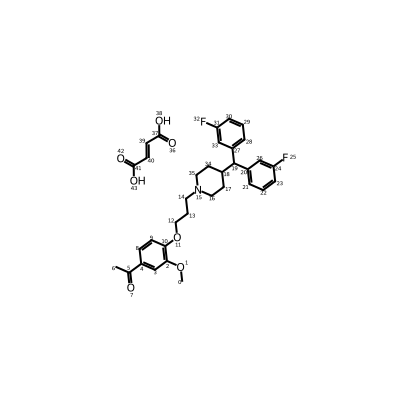 COc1cc(C(C)=O)ccc1OCCCN1CCC(C(c2cccc(F)c2)c2cccc(F)c2)CC1.O=C(O)C=CC(=O)O